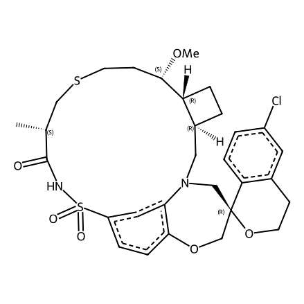 CO[C@H]1CCSC[C@@H](C)C(=O)NS(=O)(=O)c2ccc3c(c2)N(C[C@@H]2CC[C@H]21)C[C@]1(CO3)OCCc2cc(Cl)ccc21